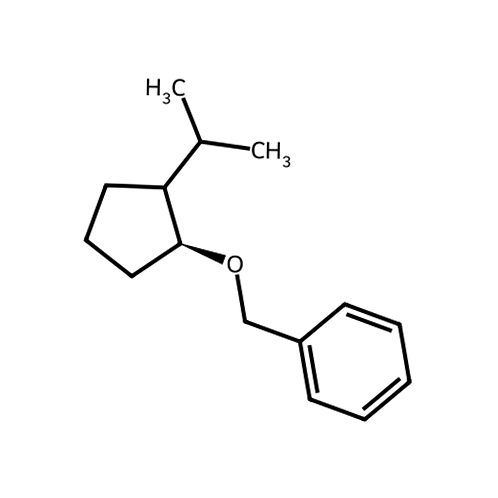 CC(C)C1CCC[C@@H]1OCc1ccccc1